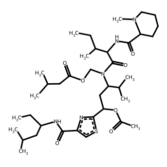 CCC(CC(C)C)NC(=O)c1csc(C(CC(C(C)C)N(COC(=O)CC(C)C)C(=O)C(NC(=O)C2CCCCN2C)C(C)CC)OC(C)=O)n1